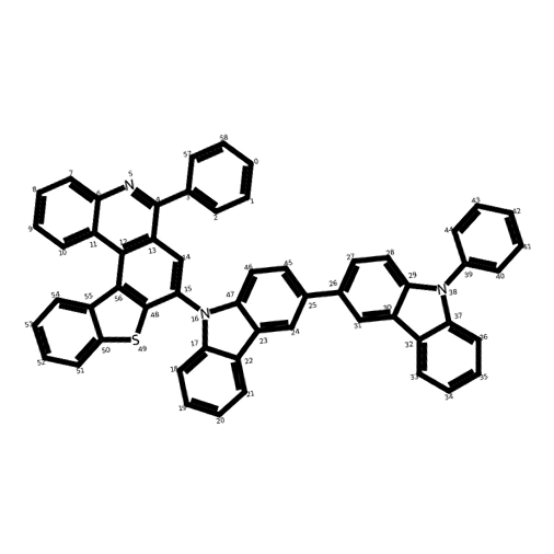 c1ccc(-c2nc3ccccc3c3c2cc(-n2c4ccccc4c4cc(-c5ccc6c(c5)c5ccccc5n6-c5ccccc5)ccc42)c2sc4ccccc4c23)cc1